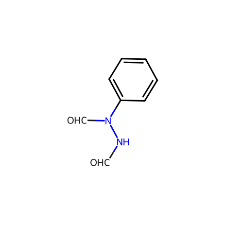 O=CNN(C=O)c1ccccc1